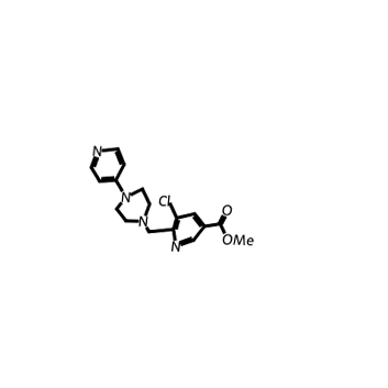 COC(=O)c1cnc(CN2CCN(c3ccncc3)CC2)c(Cl)c1